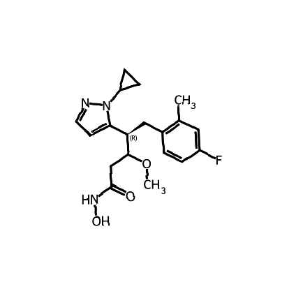 COC(CC(=O)NO)[C@H](Cc1ccc(F)cc1C)c1ccnn1C1CC1